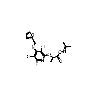 CC(C)=NOC(=O)C(C)Oc1nc(F)c(Cl)c(NCc2ccco2)c1Cl